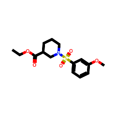 CCOC(=O)C1CCCN(S(=O)(=O)c2cccc(OC)c2)C1